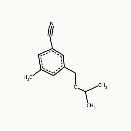 Cc1cc(C#N)cc(COC(C)C)c1